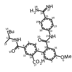 COc1ccc(-c2ccc(C(=O)NC(C)C(C)(C)C)cc2C(=O)O)c(C(=O)Nc2ccc(C(=N)N)nc2)c1